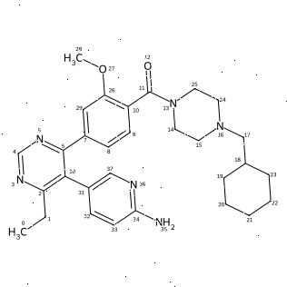 CCc1ncnc(-c2ccc(C(=O)N3CCN(CC4CCCCC4)CC3)c(OC)c2)c1-c1ccc(N)nc1